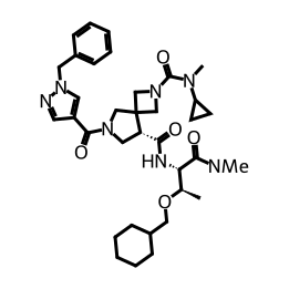 CNC(=O)[C@@H](NC(=O)[C@@H]1CN(C(=O)c2cnn(Cc3ccccc3)c2)CC12CN(C(=O)N(C)C1CC1)C2)[C@@H](C)OCC1CCCCC1